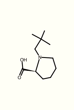 CC(C)(C)CN1CCCC[C@H]1C(=O)O